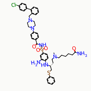 CN(CCCCCC(N)=O)CC[C@H](CSc1ccccc1)Nc1ccc(S(=O)(=O)NC(=O)c2ccc(N3CCN(Cc4ccccc4-c4ccc(Cl)cc4)CC3)cc2)cc1N